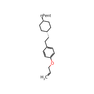 C=CCOc1ccc(CC[C@H]2CC[C@H](CCCCC)CC2)cc1